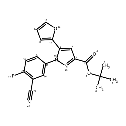 CC(C)(C)OC(=O)c1cc(-c2ccco2)n(-c2ccc(F)c(C#N)c2)n1